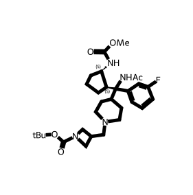 COC(=O)N[C@H]1CCC[C@@H]1C(NC(C)=O)(c1cccc(F)c1)C1CCN(CC2CN(C(=O)OC(C)(C)C)C2)CC1